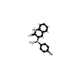 CN(c1ccc(Br)cc1)c1cc2ccccc2[nH]c1=O